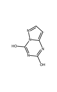 Oc1nc(O)n2nc[c]c2n1